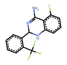 NC1=NC(c2ccccc2C(F)(F)F)Nc2cccc(F)c21